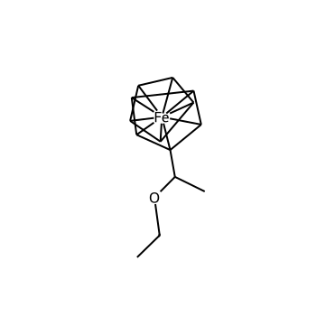 CCOC(C)[C]12[CH]3[CH]4[CH]5[CH]1[Fe]45321678[CH]2[CH]1[CH]6[CH]7[CH]28